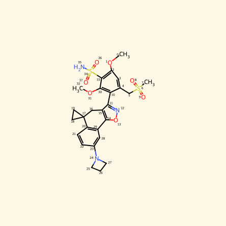 COc1cc(CS(C)(=O)=O)c(-c2noc3c2CC2(CC2)c2ccc(N4CCC4)cc2-3)c(OC)c1S(N)(=O)=O